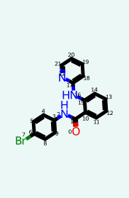 O=C(Nc1ccc(Br)cc1)c1ccccc1Nc1ccccn1